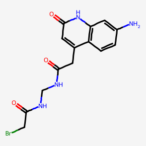 Nc1ccc2c(CC(=O)NCNC(=O)CBr)cc(=O)[nH]c2c1